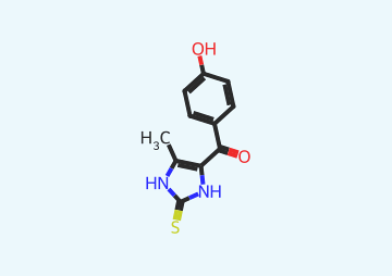 Cc1[nH]c(=S)[nH]c1C(=O)c1ccc(O)cc1